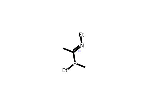 CC/N=C(\C)P(C)CC